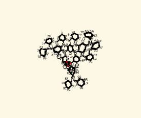 Cc1ccccc1N1c2cc3c(cc2B2c4sc(C(C)(C)C)cc4Oc4cc(N(c5ccccc5)c5ccccc5)cc1c42)B1c2cc4c(cc2N(c2ccccc2C)c2cc(N(c5ccccc5)c5ccccc5)cc(c21)N3c1ccccc1C)Oc1cc(N(c2ccccc2)c2ccccc2)cc2c1B4c1sc(C(C)(C)C)cc1O2